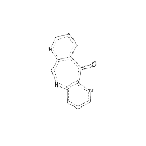 O=c1c2cccnc2cnc2cccnc12